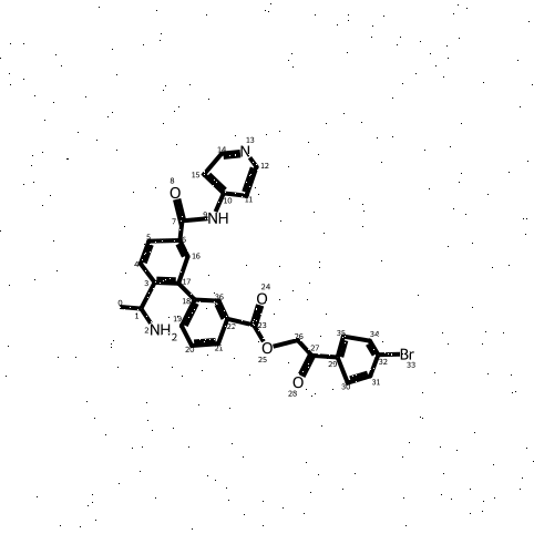 CC(N)c1ccc(C(=O)Nc2ccncc2)cc1-c1cccc(C(=O)OCC(=O)c2ccc(Br)cc2)c1